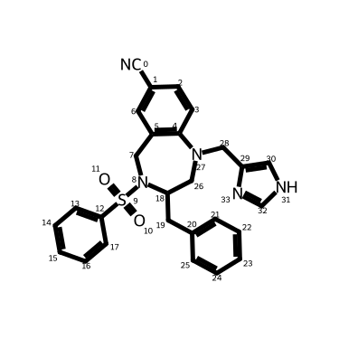 N#Cc1ccc2c(c1)CN(S(=O)(=O)c1ccccc1)C(Cc1ccccc1)CN2Cc1c[nH]cn1